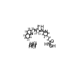 Cl.Cl.Cl.O=C(C=Cc1ccc(N[C@@H]2CCN(Cc3ccc4ccccc4n3)C2I)nc1)NO